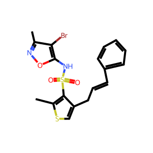 Cc1noc(NS(=O)(=O)c2c(CC=Cc3ccccc3)csc2C)c1Br